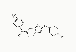 CC(C)N1CCC(Oc2cc3c(s2)CN(C(=O)c2ccc(C(F)(F)F)cc2)CC3)CC1